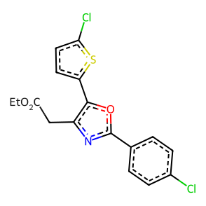 CCOC(=O)Cc1nc(-c2ccc(Cl)cc2)oc1-c1ccc(Cl)s1